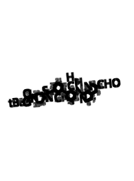 Cc1c(Nc2nccc3cc(C=O)cnc23)cccc1-c1cccc(-c2nc3c(s2)CN(C(=O)OC(C)(C)C)CC3)c1C